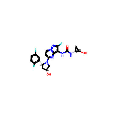 O=C(Nc1c(F)nn2ccc(N3C[C@H](O)C[C@@H]3c3cc(F)ccc3F)nc12)N[C@@H]1C[C@H]1O